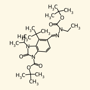 CCN(/N=C/c1ccc2c(c1C(C)(C)C)n(C(C)C)c(=O)n2C(=O)OC(C)(C)C)C(=O)OC(C)(C)C